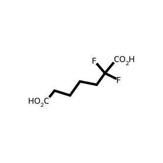 O=C(O)CCCCC(F)(F)C(=O)O